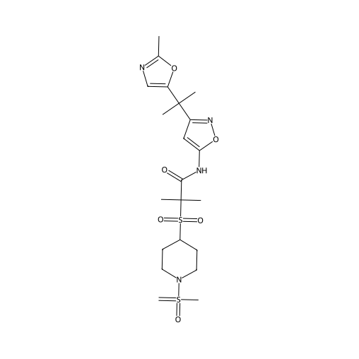 C=S(C)(=O)N1CCC(S(=O)(=O)C(C)(C)C(=O)Nc2cc(C(C)(C)c3cnc(C)o3)no2)CC1